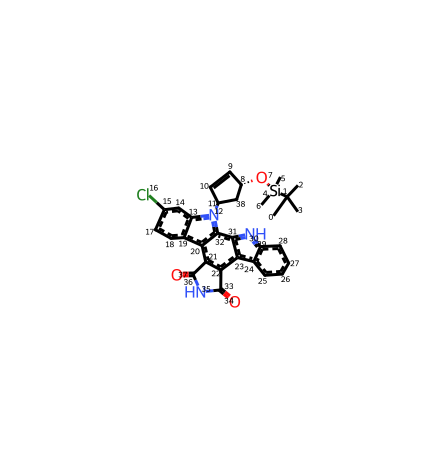 CC(C)(C)[Si](C)(C)O[C@H]1C=CC(n2c3cc(Cl)ccc3c3c4c(c5c6ccccc6[nH]c5c32)C(=O)NC4=O)C1